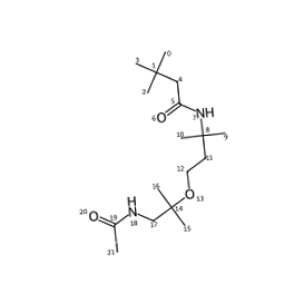 CC(C)(C)CC(=O)NC(C)(C)CCOC(C)(C)CNC(=O)I